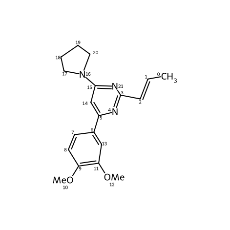 C/C=C/c1nc(-c2ccc(OC)c(OC)c2)cc(N2CCCC2)n1